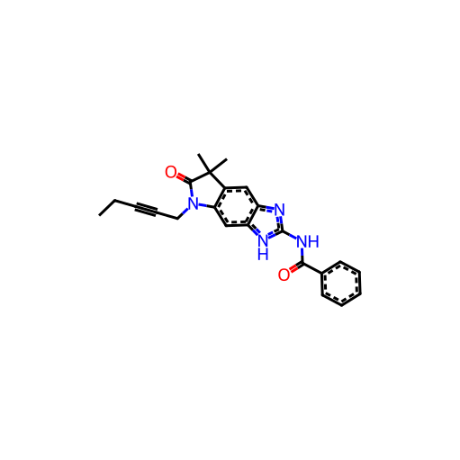 CCC#CCN1C(=O)C(C)(C)c2cc3nc(NC(=O)c4ccccc4)[nH]c3cc21